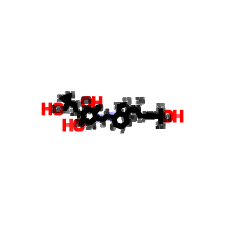 C=C1/C(=C\C=C2/CCC[C@@]3(C)C2CC[C@@H]3[C@H](C)CC#CC(C)(C)O)C[C@@H](O)[C@H](CCC2(CO)CC2)[C@@H]1O